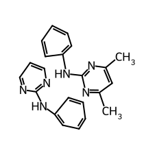 Cc1cc(C)nc(Nc2ccccc2)n1.c1ccc(Nc2ncccn2)cc1